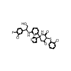 O=C1CC(c2ccsc2)(c2cccc(NC(CO)c3ccc(F)c(Cl)c3)n2)NC(=O)C1Sc1ccccc1Cl